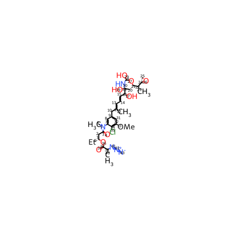 CC[C@H](CC(=O)N(C)c1cc(C/C(C)=C/C=C/[C@@H](O)[C@@]2(O)C[C@@H]([C@H](C)[C@@H]3CO3)OC(O)N2)cc(OC)c1Cl)OC(=O)[C@H](C)N=[N+]=[N-]